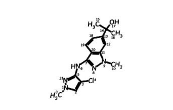 Cn1cc(Cl)c(Nc2nn(C)c3cc(C(C)(C)O)ccc23)n1